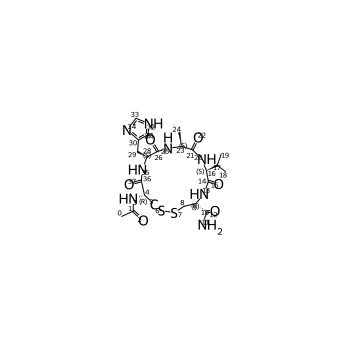 CC(=O)N[C@H]1CSSC[C@@H](C(N)=O)NC(=O)[C@H](C(C)C)NC(=O)[C@H](C)NC(=O)[C@H](Cc2c[nH]cn2)NC1=O